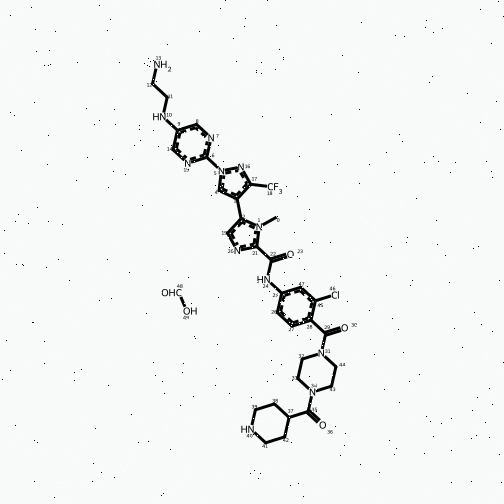 Cn1c(-c2cn(-c3ncc(NCCN)cn3)nc2C(F)(F)F)cnc1C(=O)Nc1ccc(C(=O)N2CCN(C(=O)C3CCNCC3)CC2)c(Cl)c1.O=CO